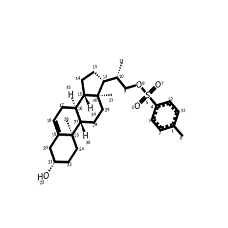 Cc1ccc(S(=O)(=O)OC[C@@H](C)[C@H]2CC[C@H]3[C@@H]4CC=C5C[C@@H](O)CC[C@]5(C)[C@H]4CC[C@]23C)cc1